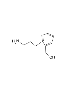 NCCCc1ccccc1CO